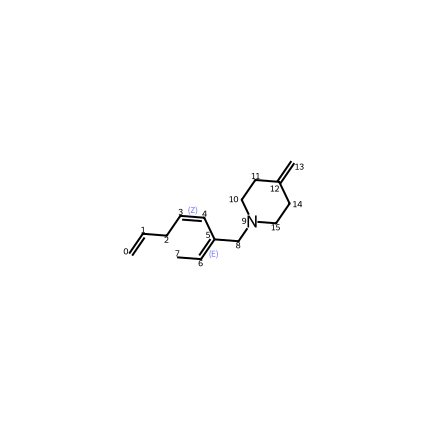 C=CC/C=C\C(=C/C)CN1CCC(=C)CC1